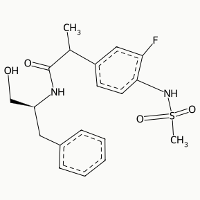 CC(C(=O)N[C@H](CO)Cc1ccccc1)c1ccc(NS(C)(=O)=O)c(F)c1